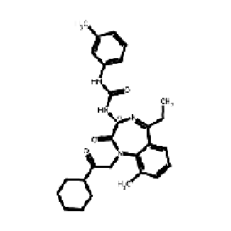 CCC1=N[C@H](NC(=O)Nc2cccc(C)c2)C(=O)N(CC(=O)C2CCCCC2)c2c(C)cccc21